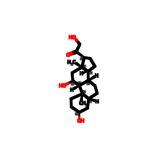 C[C@]12CC[C@@H](O)C[C@H]1CC[C@@H]1[C@H]2[C@@H](O)C[C@]2(C)[C@@H](C(=O)CO)CC[C@@H]12